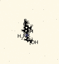 Cc1cc(C(C)(C)O)sc1/C(N)=N/C(=O)Nc1c(C(C)C)cc(OC(F)F)cc1C(C)C